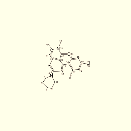 Cc1nc2cc(N3CCCCC3)nc(-c3ccc(Cl)cc3F)c2c(=O)n1C